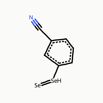 N#Cc1cccc([SeH]=[Se])c1